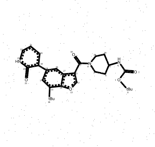 CC(C)(C)OC(=O)NC1CCN(C(=O)c2coc3c(C(C)(C)C)cc(-c4ccc[nH]c4=O)cc23)CC1